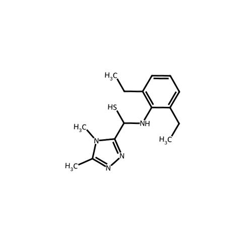 CCc1cccc(CC)c1NC(S)c1nnc(C)n1C